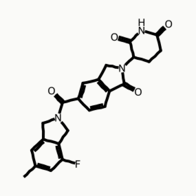 Cc1cc(F)c2c(c1)CN(C(=O)c1ccc3c(c1)CN(C1CCC(=O)NC1=O)C3=O)C2